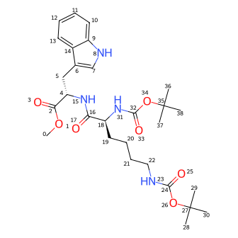 COC(=O)[C@H](Cc1c[nH]c2ccccc12)NC(=O)[C@H](CCCCNC(=O)OC(C)(C)C)NC(=O)OC(C)(C)C